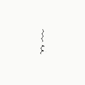 CCCCCCOC(=O)CC(=O)CF